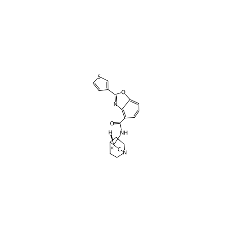 O=C(N[C@@H]1CN2CCC1CC2)c1cccc2oc(-c3ccsc3)nc12